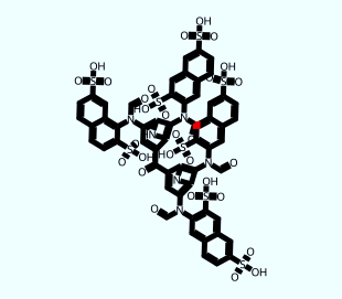 O=CN(c1cc2ccc(S(=O)(=O)O)cc2cc1S(=O)(=O)O)c1cc(C(=O)c2cc(N(C=O)c3c(S(=O)(=O)O)ccc4ccc(S(=O)(=O)O)cc34)c3c(N(C=O)c4cc5ccc(S(=O)(=O)O)cc5cc4S(=O)(=O)O)c2N3)c2c(N(C=O)c3cc4ccc(S(=O)(=O)O)cc4cc3S(=O)(=O)O)c1N2